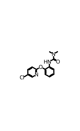 CN(C)C(=O)Nc1ccccc1Oc1ccc(Cl)cn1